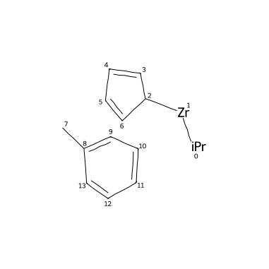 C[CH](C)[Zr][CH]1C=CC=C1.Cc1ccccc1